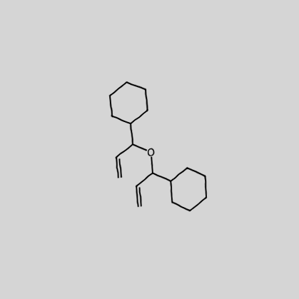 C=CC(OC(C=C)C1CCCCC1)C1CCCCC1